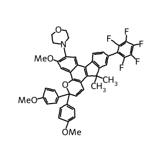 COc1ccc(C2(c3ccc(OC)cc3)C=Cc3c4c(c5cc(N6CCOCC6)c(OC)cc5c3O2)-c2ccc(-c3c(F)c(F)c(F)c(F)c3F)cc2C4(C)C)cc1